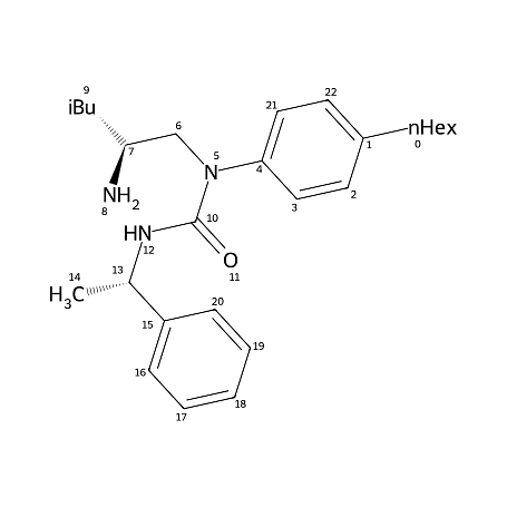 CCCCCCc1ccc(N(C[C@@H](N)[C@@H](C)CC)C(=O)N[C@@H](C)c2ccccc2)cc1